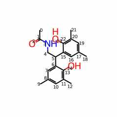 CC(=O)NCC(c1cc(C)cc(C)c1O)c1cc(C)cc(C)c1O